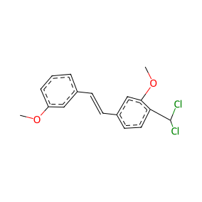 COc1cccc(C=Cc2ccc(C(Cl)Cl)c(OC)c2)c1